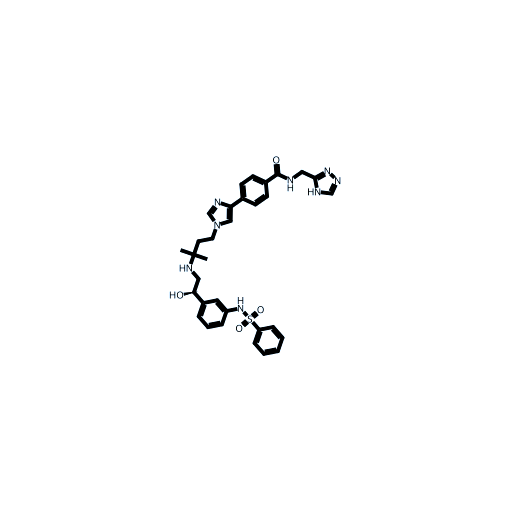 CC(C)(CCn1cnc(-c2ccc(C(=O)NCc3nnc[nH]3)cc2)c1)NC[C@H](O)c1cccc(NS(=O)(=O)c2ccccc2)c1